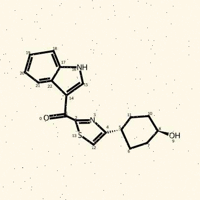 O=C(c1nc([C@H]2CC[C@H](O)CC2)cs1)c1c[nH]c2ccccc12